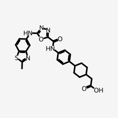 Cc1nc2cc(Nc3nnc(C(=O)Nc4ccc(C5CCC(CC(=O)O)CC5)cc4)o3)ccc2s1